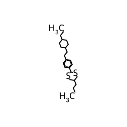 CCCCC1CSC(c2ccc(CCC3CCC(CCC)CC3)cc2)SC1